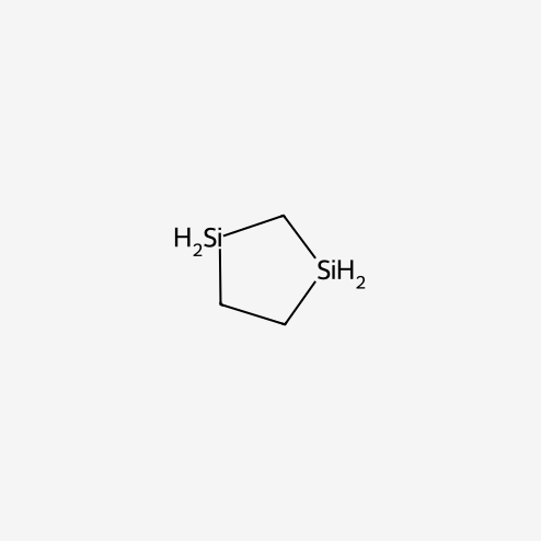 C1C[SiH2]C[SiH2]1